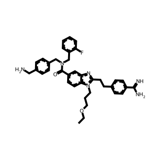 CCOCCCn1c(CCc2ccc(C(=N)N)cc2)nc2cc(C(=O)N(Cc3ccc(CN)cc3)Cc3ccccc3F)ccc21